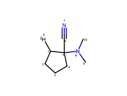 [2H]C1CCCC1(C#N)N(C)C